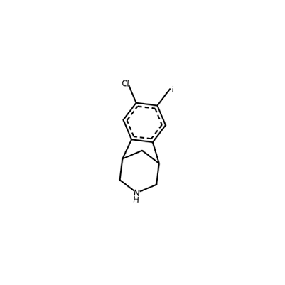 [C]c1cc2c(cc1Cl)C1CNCC2C1